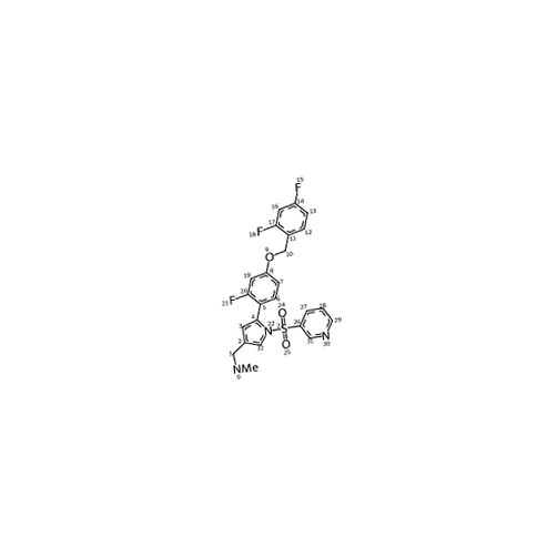 CNCc1cc(-c2ccc(OCc3ccc(F)cc3F)cc2F)n(S(=O)(=O)c2cccnc2)c1